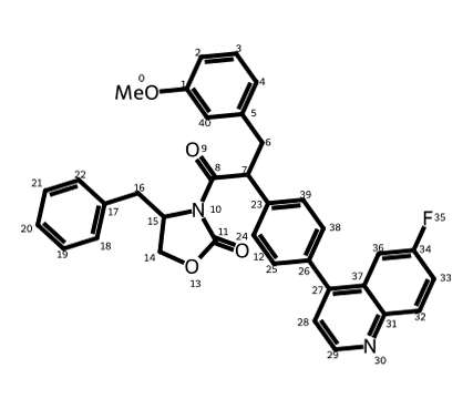 COc1cccc(CC(C(=O)N2C(=O)OCC2Cc2ccccc2)c2ccc(-c3ccnc4ccc(F)cc34)cc2)c1